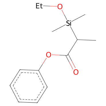 CCO[Si](C)(C)C(C)C(=O)Oc1ccccc1